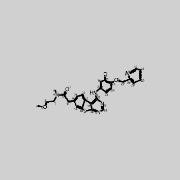 COCCN(C)C(=O)Cc1ccc2c(c1)sc1ncnc(Nc3ccc(OCc4ccccn4)c(Cl)c3)c12